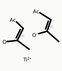 CC(=O)/C=C(/C)[O-].CC(=O)/C=C(/C)[O-].[Ti+2]